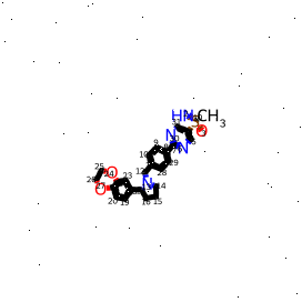 CS(=N)(=O)c1cnc(-c2ccc(CN3CCCC3c3ccc4c(c3)OCCO4)cc2)nc1